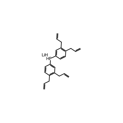 C=CCc1ccc(Pc2ccc(CC=C)c(CC=C)c2)cc1CC=C.[LiH]